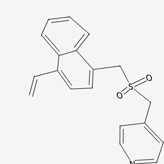 C=Cc1ccc(CS(=O)(=O)Cc2ccncc2)c2ccccc12